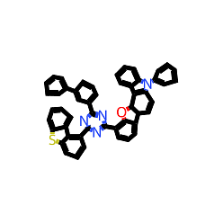 C1=CC2c3cccc(-c4nc(-c5cccc(-c6ccccc6)c5)nc(-c5cccc6sc7ccccc7c56)n4)c3OC2c2c1n(-c1ccccc1)c1ccccc21